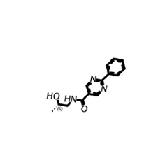 C[C@H](O)CNC(=O)c1cnc(-c2ccccc2)nc1